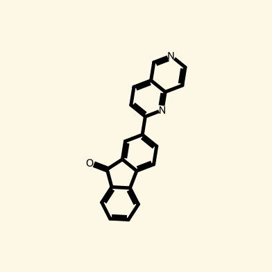 O=C1c2ccccc2-c2ccc(-c3ccc4cnccc4n3)cc21